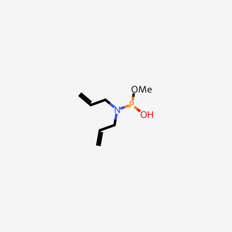 C=CCN(CC=C)P(O)OC